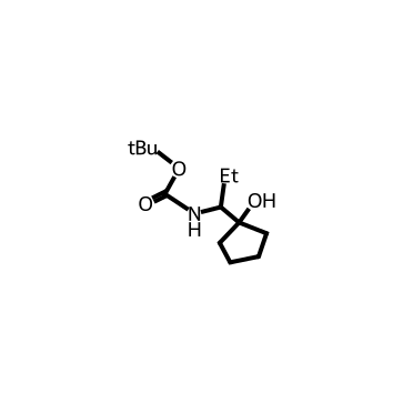 CCC(NC(=O)OC(C)(C)C)C1(O)CCCC1